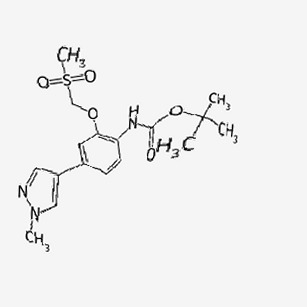 Cn1cc(-c2ccc(NC(=O)OC(C)(C)C)c(OCS(C)(=O)=O)c2)cn1